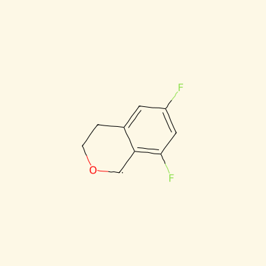 Fc1cc(F)c2c(c1)CCO[CH]2